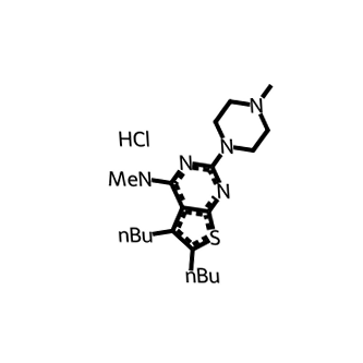 CCCCc1sc2nc(N3CCN(C)CC3)nc(NC)c2c1CCCC.Cl